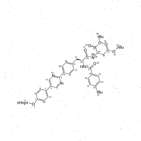 CCCCCCCOc1ccc(-c2cnc(-c3ccc(C[C@H](NC(=O)c4ccc(C(C)(C)C)cc4)C(=O)NC(CC(=O)OCCCC)C(=O)OC(C)(C)C)cc3)nc2)cc1